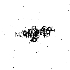 CC(=O)OCc1c(C)cccc1NC(=O)OC[n+]1cnn(C[C@](O)(c2cc(F)ccc2F)[C@@H](C)c2nc(-c3ccc(C#N)cc3)cs2)c1.[Cl-]